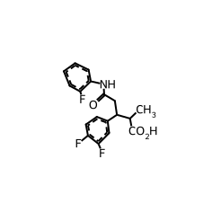 CC(C(=O)O)C(CC(=O)Nc1ccccc1F)c1ccc(F)c(F)c1